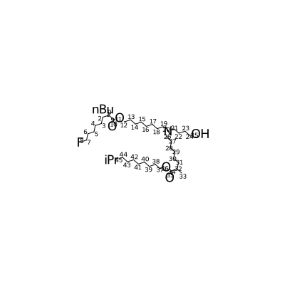 CCCCC(CCCCCCF)C(=O)OCCCCCCCCN(CCCCO)CCCCCCC(C)C(=O)OCCCCCCCCC(C)C